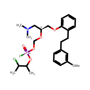 COc1cccc(CCc2ccccc2OC[C@H](CN(C)C)OCO[P@](=O)(F)OC(C)C(C)Cl)c1